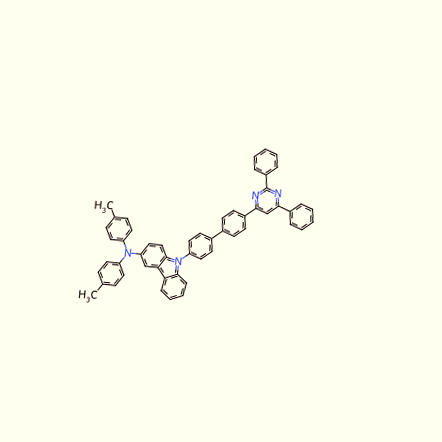 Cc1ccc(N(c2ccc(C)cc2)c2ccc3c(c2)c2ccccc2n3-c2ccc(-c3ccc(-c4cc(-c5ccccc5)nc(-c5ccccc5)n4)cc3)cc2)cc1